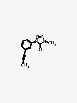 CC#Cc1cccc(-n2nnn(C)c2=O)c1